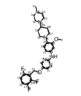 COc1cc(Nc2ncc(OCc3c(F)ccc(F)c3F)cn2)ccc1N1CCC(N2CCN(C)CC2)CC1